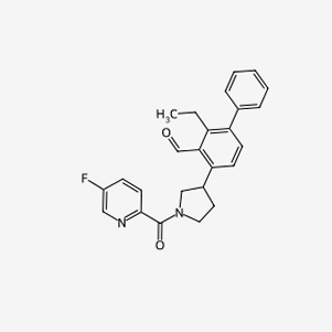 CCc1c(-c2ccccc2)ccc(C2CCN(C(=O)c3ccc(F)cn3)C2)c1C=O